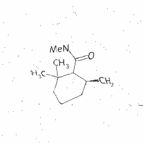 CNC(=O)C1[C@@H](C)CCCC1(C)C